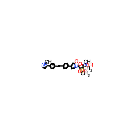 CN(O)C(=O)C(C)(CCn1ccc(-c2ccc(C#Cc3ccc(-c4ccnn4C)cc3)cc2)cc1=O)S(C)(=O)=O